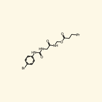 CC(C)CCC(=O)OCNC(=O)CNC(=O)Nc1ccc(Br)cc1